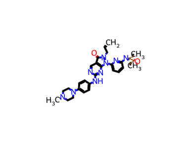 C=CCn1c(=O)c2cnc(Nc3ccc(N4CCN(C)CC4)cc3)nc2n1-c1cccc(N=S(C)(C)=O)n1